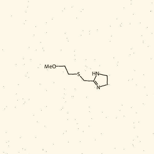 COCCSCC1=N[CH]CN1